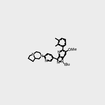 COc1cc2c(nc1-c1cccc(C)c1C)c(-c1ccc(N3CCN4CCCC4C3)nc1)nn2C(C)(C)C